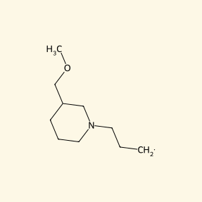 [CH2]CCN1CCCC(COC)C1